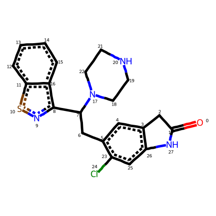 O=C1Cc2cc(CC(c3nsc4ccccc34)N3CCNCC3)c(Cl)cc2N1